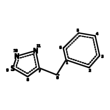 [CH](c1ccccc1)c1csnn1